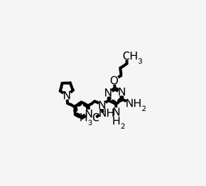 CCCCOc1nc(N)c(N)c(N(Cc2cc(CN3CCCC3)ccn2)NC)n1